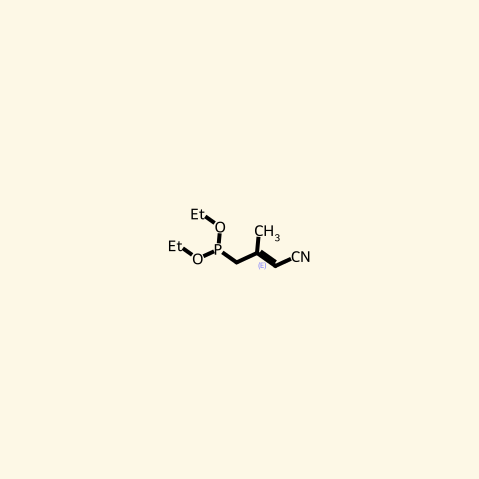 CCOP(C/C(C)=C/C#N)OCC